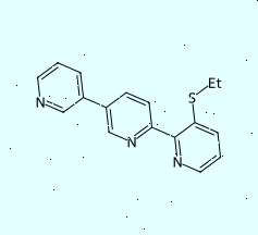 CCSc1cccnc1-c1ccc(-c2cccnc2)cn1